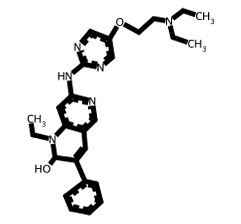 CCN(CC)CCOc1cnc(Nc2cc3c(cn2)C=C(c2ccccc2)C(O)N3CC)nc1